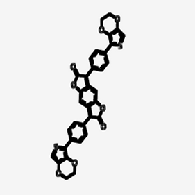 O=C1Oc2cc3c(cc2=C1c1ccc(-c2scc4c2OCCO4)cc1)OC(=O)C=3c1ccc(-c2scc3c2OCCO3)cc1